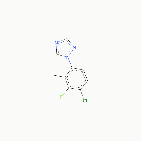 Cc1c(-n2cncn2)ccc(Cl)c1F